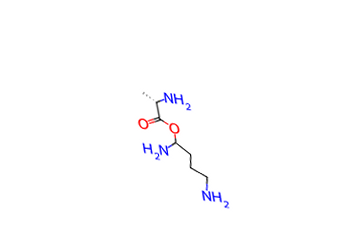 C[C@H](N)C(=O)OC(N)CCCN